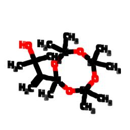 C=C(C(C)(C)O)[Si]1(C)O[Si](C)(C)O[Si](C)(C)O[Si](C)(C)O1